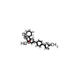 Cc1nc(-c2ccc(-c3ccc([C@@]4(CC(=O)O)CCCCS4(=O)=O)s3)cc2)cs1